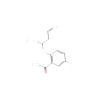 C=CCC(C)Oc1ccc(F)cc1C(N)=O